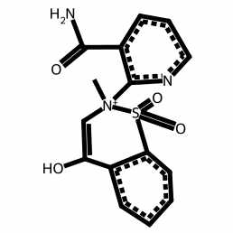 C[N+]1(c2ncccc2C(N)=O)C=C(O)c2ccccc2S1(=O)=O